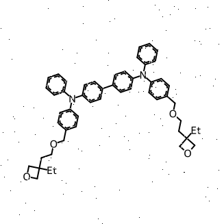 CCC1(CCOCc2ccc(N(c3ccccc3)c3ccc(-c4ccc(N(c5ccccc5)c5ccc(COCCC6(CC)COC6)cc5)cc4)cc3)cc2)COC1